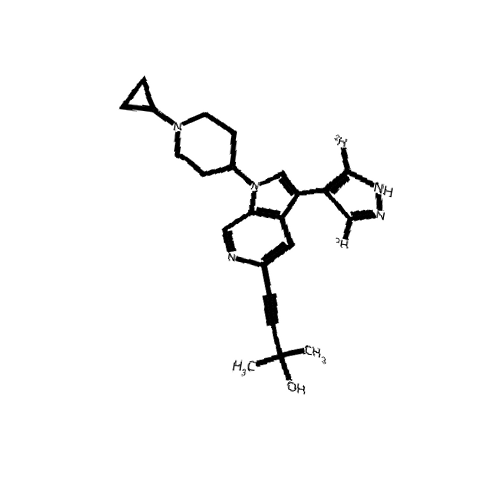 [2H]c1n[nH]c([2H])c1-c1cn(C2CCN(C3CC3)CC2)c2cnc(C#CC(C)(C)O)cc12